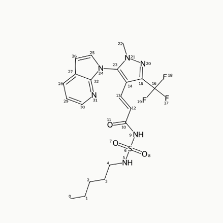 CCCCCNS(=O)(=O)NC(=O)C=Cc1c(C(F)(F)F)nn(C)c1-n1ccc2cccnc21